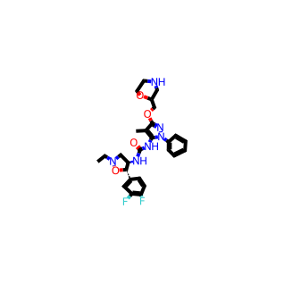 CCN1C[C@@H](NC(=O)Nc2c(C)c(OCC3CNCCO3)nn2-c2ccccc2)[C@H](c2ccc(F)c(F)c2)O1